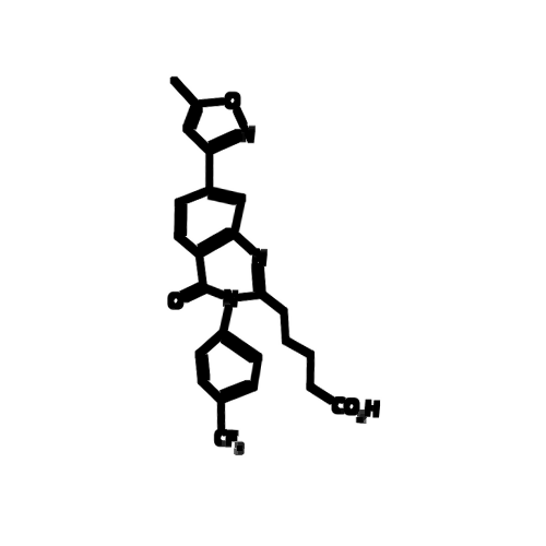 Cc1cc(-c2ccc3c(=O)n(-c4ccc(C(F)(F)F)cc4)c(CCCCC(=O)O)nc3c2)no1